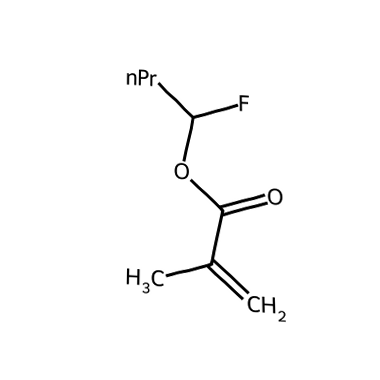 C=C(C)C(=O)OC(F)CCC